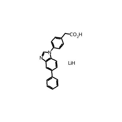 O=C(O)Cc1ccc(-n2cnc3cc(-c4ccccc4)ccc32)cc1.[LiH]